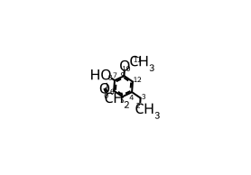 C=O.CCc1ccc(O)c(OC)c1